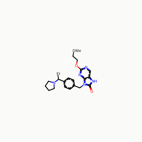 CCC(c1ccc(Cn2c(=O)[nH]c3cnc(OCCOC)nc32)cc1)N1CCCC1